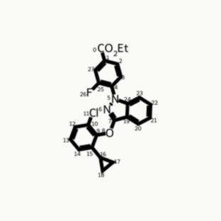 CCOC(=O)c1ccc(-n2nc(Oc3c(Cl)cccc3C3CC3)c3ccccc32)c(F)c1